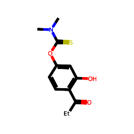 CCC(=O)c1ccc(OC(=S)N(C)C)cc1O